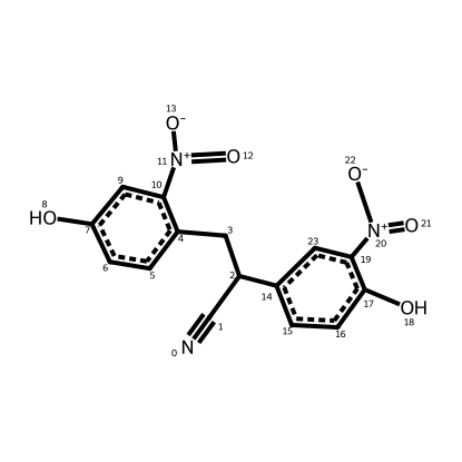 N#CC(Cc1ccc(O)cc1[N+](=O)[O-])c1ccc(O)c([N+](=O)[O-])c1